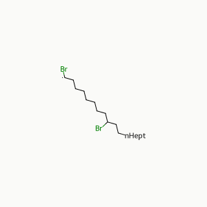 CCCCCCCCCC(Br)CCCCCCC[CH]Br